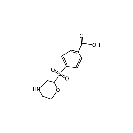 O=C(O)c1ccc(S(=O)(=O)C2CNCCO2)cc1